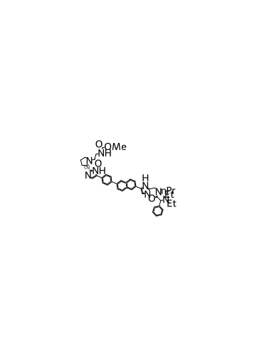 CCCN(Cc1ncc(-c2ccc3cc(-c4ccc(-c5cnc([C@@H]6CCCN6C(=O)CNC(=O)OC)[nH]5)cc4)ccc3c2)[nH]1)C(=O)C(c1ccccc1)N(CC)CC